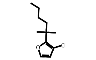 CCCCC(C)(C)c1occc1Cl